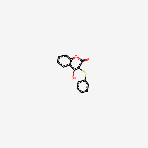 O=c1oc2ccccc2c(O)c1Sc1ccccc1